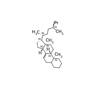 CC(C)[C@@H](C)CC[C@@H](C)[C@H]1CC[C@H]2C3=CCC4CCCC[C@]4(C)[C@H]3CC[C@]12C